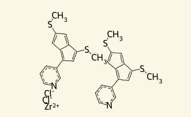 CSC1=CC2=C(c3cccnc3)C=C(SC)C2=C1.CSC1=CC2=C(c3cccnc3)C=C(SC)C2=C1.[Cl-].[Cl-].[Zr+2]